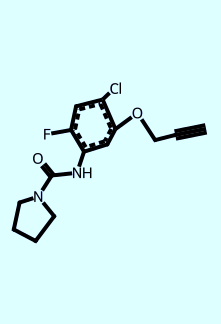 C#CCOc1cc(NC(=O)N2CCCC2)c(F)cc1Cl